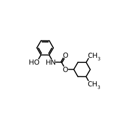 CC1CC(C)CC(OC(=O)Nc2ccccc2O)C1